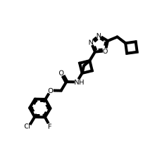 O=C(COc1ccc(Cl)c(F)c1)NC12CC(c3nnc(CC4CCC4)o3)(C1)C2